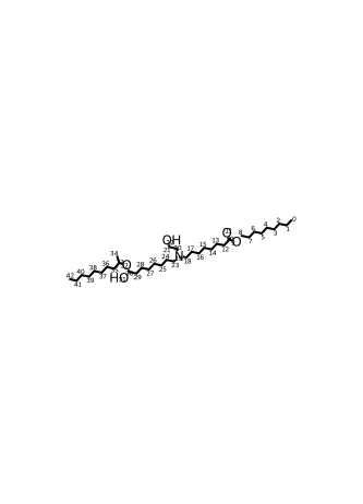 CCCCCCCCCOC(=O)CCCCCCCN(CCO)CCCCCCCC(O)OC(C)CCCCCCCC